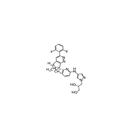 CC1(C)[C@H]2CC[C@]1(c1cccc(Nc3cnn(CC(O)CO)c3)n1)c1nnc(-c3c(F)cccc3F)cc12